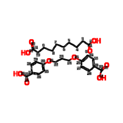 O=C(O)CCCCCCCCC(=O)O.O=C(O)c1ccc(OCCCOc2ccc(C(=O)O)cc2)cc1